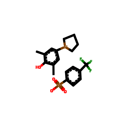 Cc1cc([S+]2CCCC2)cc(C)c1O.O=S(=O)([O-])c1ccc(C(F)(F)F)cc1